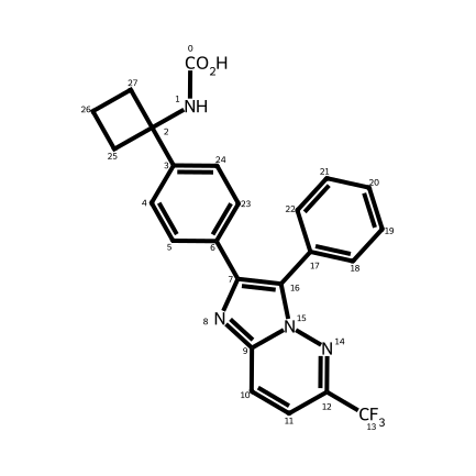 O=C(O)NC1(c2ccc(-c3nc4ccc(C(F)(F)F)nn4c3-c3ccccc3)cc2)CCC1